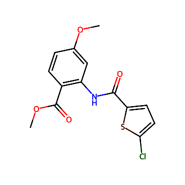 COC(=O)c1ccc(OC)cc1NC(=O)c1ccc(Cl)s1